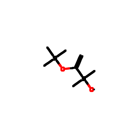 C=C(O[Si](C)(C)C)[Si](C)(C)[O]